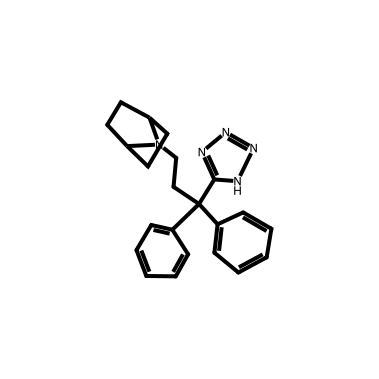 c1ccc(C(CCN2C3CCC2CC3)(c2ccccc2)c2nnn[nH]2)cc1